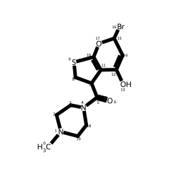 CN1CCN(C(=O)C2CSC3=C2C(O)=CC(Br)O3)CC1